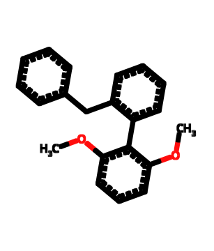 COc1cccc(OC)c1-c1ccccc1Cc1ccccc1